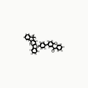 CC1(C)c2ccccc2-c2nc3c4ccccc4n(-c4ccc(-c5ccc6oc7ccccc7c(=O)c6c5)cc4)c3cc21